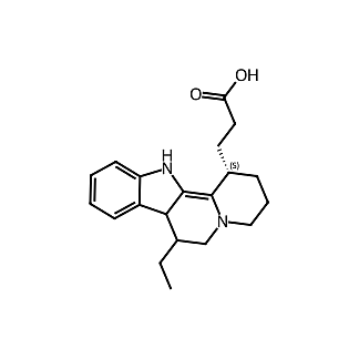 CCC1CN2CCC[C@@H](CCC(=O)O)C2=C2Nc3ccccc3C21